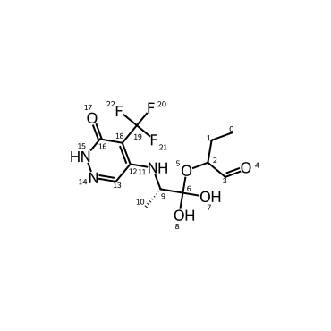 CCC(C=O)OC(O)(O)[C@H](C)Nc1cn[nH]c(=O)c1C(F)(F)F